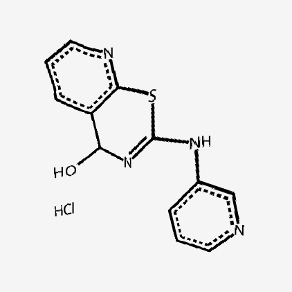 Cl.OC1N=C(Nc2cccnc2)Sc2ncccc21